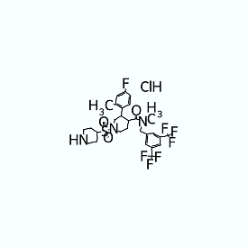 Cc1cc(F)ccc1C1CN(S(=O)(=O)C2CCNCC2)CCC1C(=O)N(C)Cc1cc(C(F)(F)F)cc(C(F)(F)F)c1.Cl